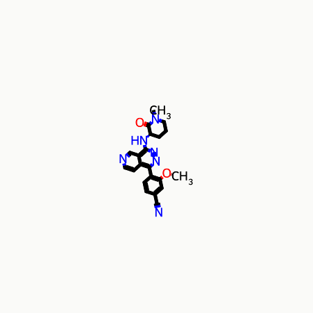 COc1cc(C#N)ccc1-c1nnc(N[C@@H]2CCCN(C)C2=O)c2cnccc12